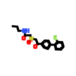 CCCNC(=O)C[S+]([O-])CC(=O)c1ccc(-c2ccccc2F)cc1